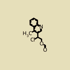 Cc1c(C(Cl)COC=O)cnc2ccccc12